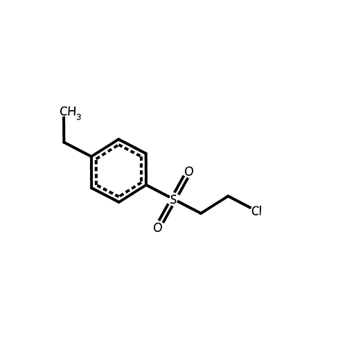 CCc1ccc(S(=O)(=O)CCCl)cc1